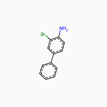 Nc1ccc(-c2ccccc2)cc1Br